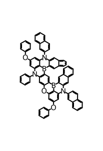 c1ccc(Oc2cc3c4c(c2)N(c2ccc5ccccc5c2)c2cc5ccccc5cc2B4c2cc4c(cc2O3)N(c2ccccc2)c2cc(Oc3ccccc3)cc3c2B4c2cc4ccccc4cc2N3c2ccc3ccccc3c2)cc1